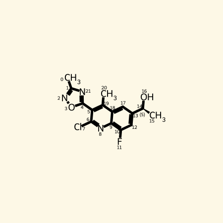 Cc1noc(-c2c(Cl)nc3c(F)cc([C@H](C)O)cc3c2C)n1